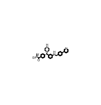 CCN(CC)C(=O)c1ccc([C@@H](c2cccc(NCc3ccc(-c4cccnc4)cc3)c2)N2CCNCC2)cc1